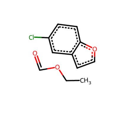 CCOC=O.Clc1ccc2occc2c1